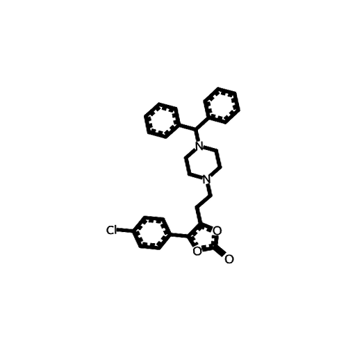 O=c1oc(CCN2CCN(C(c3ccccc3)c3ccccc3)CC2)c(-c2ccc(Cl)cc2)o1